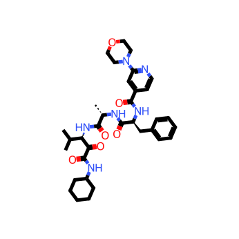 CC(C)[C@H](NC(=O)[C@H](C)NC(=O)[C@H](Cc1ccccc1)NC(=O)c1ccnc(N2CCOCC2)c1)C(=O)C(=O)NC1CCCCC1